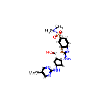 CSc1cnc(N[C@H]2C[C@H](CO)[C@H](Nc3nc4ccc(S(=O)(=O)N(C)C)cc4s3)C2)nc1